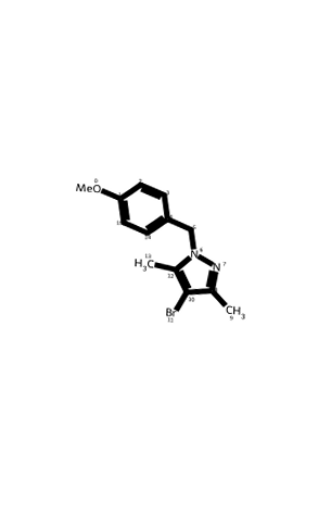 COc1ccc(Cn2nc(C)c(Br)c2C)cc1